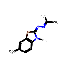 CC(C)=NN=c1sc2cc([N+](=O)[O-])ccc2n1C